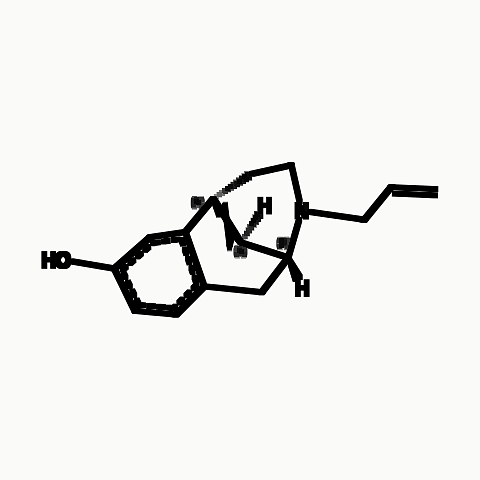 C=CCN1CC[C@@]23CCCC[C@@H]2[C@H]1Cc1ccc(O)cc13